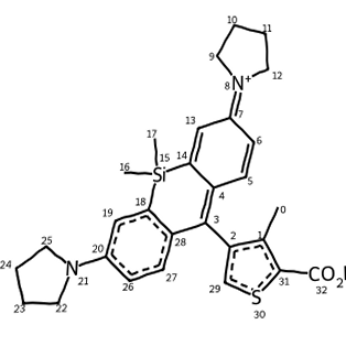 Cc1c(C2=C3C=CC(=[N+]4CCCC4)C=C3[Si](C)(C)c3cc(N4CCCC4)ccc32)csc1C(=O)O